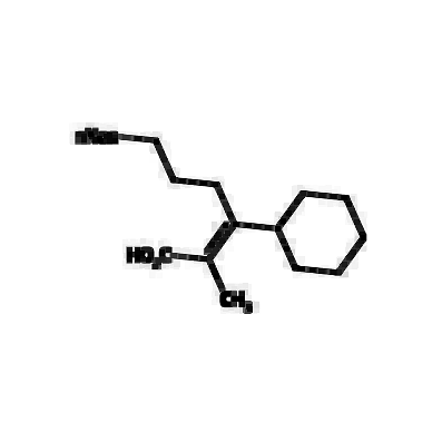 CCCCCCCCCCCCC(=C(C)C(=O)O)C1CCCCC1